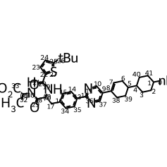 CCCC1CCC(C2CC=C(c3cnc(-c4ccc(C[C@H](NC(=O)c5ccc(C(C)(C)C)s5)C(=O)N[C@H](C)C(=O)O)cc4)nc3)CC2)CC1